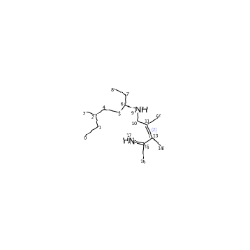 CCC(C)CCC(CC)NC/C(C)=C(/C)C(C)=N